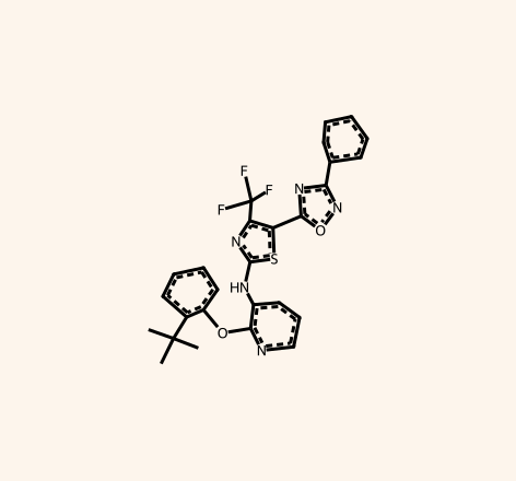 CC(C)(C)c1ccccc1Oc1ncccc1Nc1nc(C(F)(F)F)c(-c2nc(-c3ccccc3)no2)s1